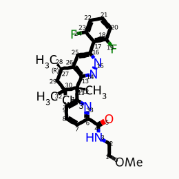 COCCNC(=O)c1cccc([C@@]2(C)c3nnc(-c4c(F)cccc4F)cc3[C@H](C)CC2(C)C)n1